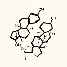 C[C@H](O)[C@H]1CC[C@H]2[C@@H]3CC[C@@H]4C[C@H](O)CC[C@]4(C)[C@H]3CC[C@]12C.C[C@]12CC[C@@H]3c4ccc(O)cc4CC[C@H]3[C@@H]1CC[C@@H]2O